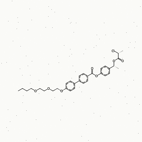 CCCCOCCOCCOc1ccc(-c2ccc(C(=O)Oc3ccc([C@@H](C)OC(=O)[C@@H](C)Cl)cc3)cc2)cc1